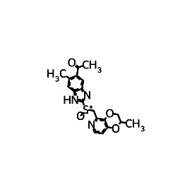 CC(=O)c1cc2nc([S+]([O-])Cc3nccc4c3OCC(C)O4)[nH]c2cc1C